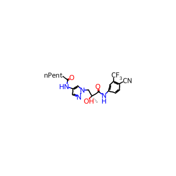 CCCCCC(=O)Nc1cnn(C[C@](C)(O)C(=O)Nc2ccc(C#N)c(C(F)(F)F)c2)c1